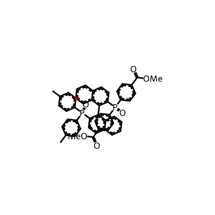 COC(=O)c1ccc(P(=O)(c2ccc(C(=O)OC)cc2)c2ccc3ccccc3c2-c2c(P(=O)(c3ccc(C)cc3)c3ccc(C)cc3)ccc3ccccc23)cc1